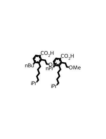 CCCCc1ccc(C(=O)O)c(CCOC)c1CCCCCC(C)C.CCCc1ccc(C(=O)O)c(CCOC)c1CCCCCC(C)C